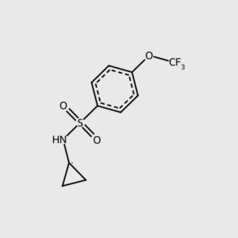 O=S(=O)(N[C]1CC1)c1ccc(OC(F)(F)F)cc1